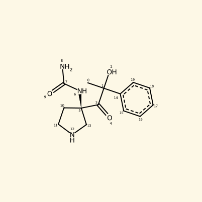 CC(O)(C(=O)[C@@]1(NC(N)=O)CCNC1)c1ccccc1